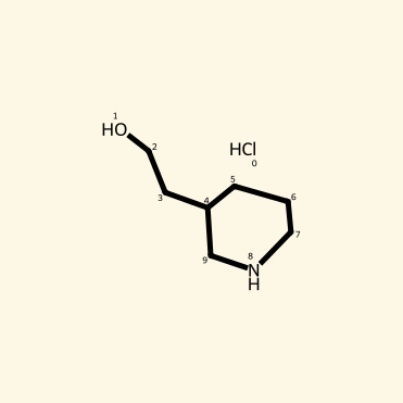 Cl.OCCC1CCCNC1